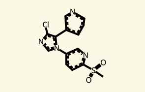 CS(=O)(=O)c1ccc(-n2cnc(Cl)c2-c2cccnc2)cn1